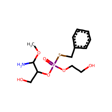 COC(N)C(CO)OP(=O)(OCCO)SCc1ccccc1